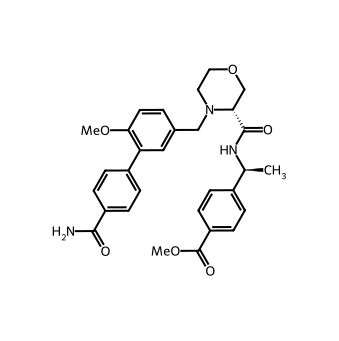 COC(=O)c1ccc([C@H](C)NC(=O)[C@H]2COCCN2Cc2ccc(OC)c(-c3ccc(C(N)=O)cc3)c2)cc1